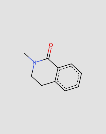 CN1CCc2ccccc2C1=O